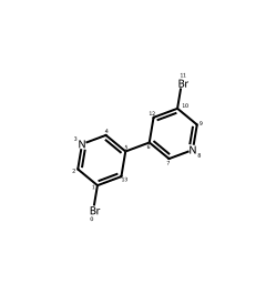 Brc1cncc(-c2cncc(Br)c2)c1